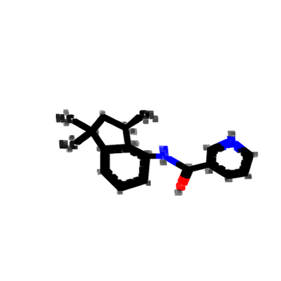 C[C@@H]1CC(C)(C)c2cccc(NC(=O)c3cccnc3)c21